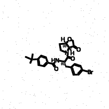 CC(C)(C)c1ccc(C(=O)N[C@@H](Cc2ccc(Br)cc2)C(=O)N2CC[C@H]3OCC(=O)[C@H]32)cc1